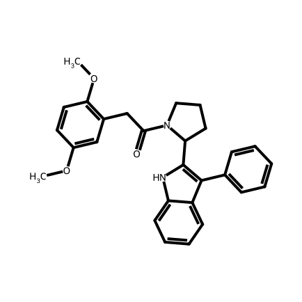 COc1ccc(OC)c(CC(=O)N2CCCC2c2[nH]c3ccccc3c2-c2ccccc2)c1